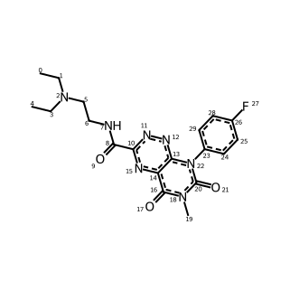 CCN(CC)CCNC(=O)c1nnc2c(n1)c(=O)n(C)c(=O)n2-c1ccc(F)cc1